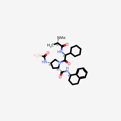 BC(=O)N[C@H]1C[C@@H](C(=O)N[C@@H]2CCCc3ccccc32)N(C(=O)[C@@H](NC(=O)[C@H](C)NC)C2CCCCC2)C1